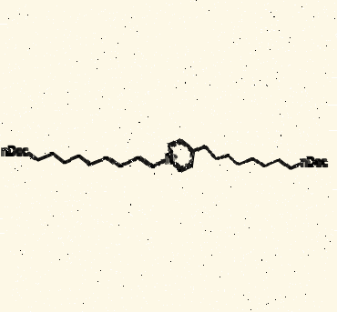 CCCCCCCCCCCCCCCCCCC[n+]1ccc(CCCCCCCCCCCCCCCCCC)cc1